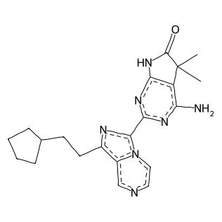 CC1(C)C(=O)Nc2nc(-c3nc(CCC4CCCC4)c4cnccn34)nc(N)c21